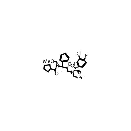 COCN(C(=O)C1CCCC1)[C@@](C)(c1ccccc1)[C@H](O)CN(CC(C)C)S(=O)(=O)c1ccc(F)c(Cl)c1